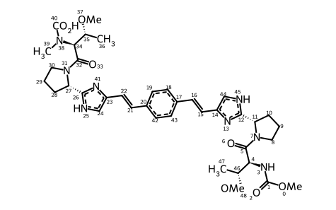 COC(=O)N[C@H](C(=O)N1CCC[C@H]1c1nc(C=Cc2ccc(C=Cc3c[nH]c([C@@H]4CCCN4C(=O)[C@H]([C@@H](C)OC)N(C)C(=O)O)n3)cc2)c[nH]1)[C@@H](C)OC